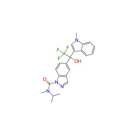 CC(C)N(C)C(=O)n1ncc2cc(C(O)(c3cn(C)c4ccccc34)C(F)(F)F)ccc21